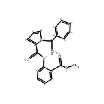 COC(=O)c1ccccc1OC(=O)c1cccn1C(C)c1ccccc1